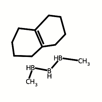 C1CCC2=C(C1)CCCC2.CBBBC